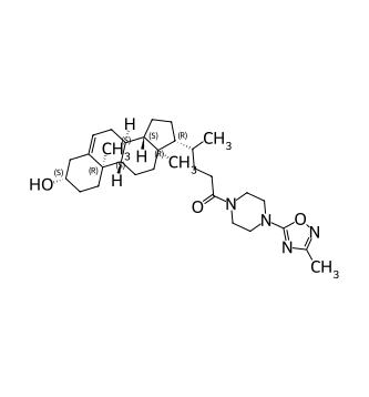 Cc1noc(N2CCN(C(=O)CCC(C)[C@H]3CC[C@H]4[C@@H]5CC=C6C[C@@H](O)CC[C@]6(C)[C@H]5CC[C@]34C)CC2)n1